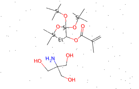 C=C(C)C(=O)OC(CC)[Si](O[Si](C)(C)C)(O[Si](C)(C)C)O[Si](C)(C)C.NC(CO)(CO)CO